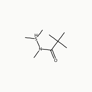 CN(C(=O)C(C)(C)C)[SH](C)C